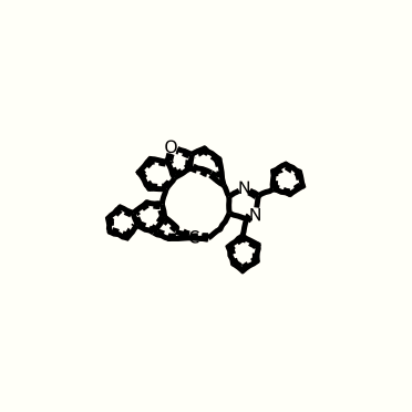 c1ccc(C2=NC3c4ccc5oc6cccc(c6c5c4)-c4cc5ccccc5c5cc(ccc45)CC3C(c3ccccc3)=N2)cc1